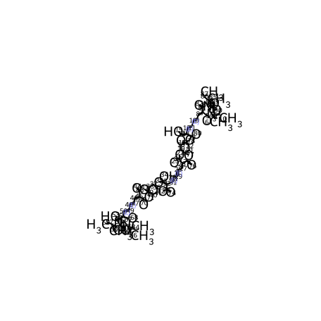 CCC(C)N1C(=O)C(=C/C=C/C=C/C2=C(O)OC3(CCC4(CC3)OC(=O)C(=C/C=C/C=C/C3=C(O)OC5(CCC6(CC5)OC(=O)C(=C/C=C/C=C/C5=C(O)N(C(C)CC)S(=O)(=O)N(C(C)CC)C5=O)C(=O)O6)OC3=O)C(=O)O4)OC2=O)C(=O)N(C(C)CC)S1(=O)=O